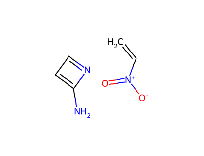 C=C[N+](=O)[O-].NC1=CC=N1